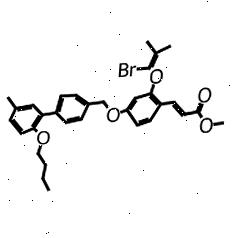 CCCCOc1ccc(C)cc1-c1ccc(COc2ccc(C=CC(=O)OC)c(OC(Br)=C(C)C)c2)cc1